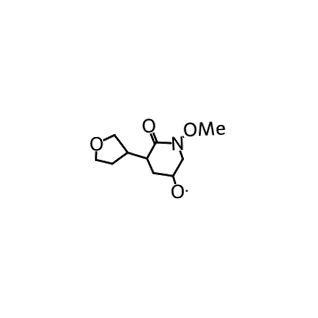 CON1CC([O])CC(C2CCOC2)C1=O